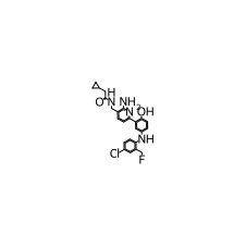 Nc1nc(-c2cc(Nc3ccc(Cl)cc3CF)ccc2O)ccc1CNC(=O)CC1CC1